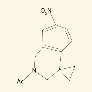 CC(=O)N1Cc2cc([N+](=O)[O-])ccc2C2(CC2)C1